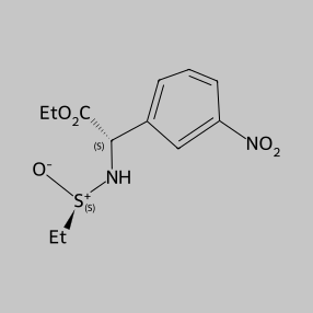 CCOC(=O)[C@@H](N[S@+]([O-])CC)c1cccc([N+](=O)[O-])c1